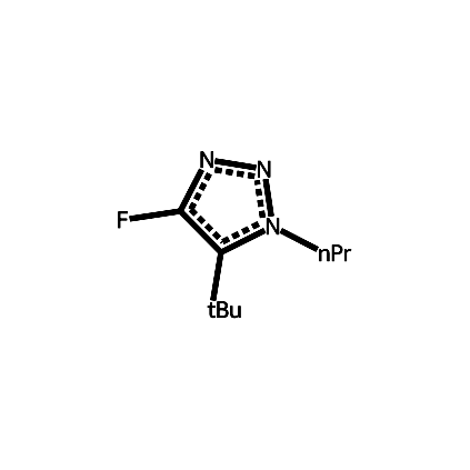 CCCn1nnc(F)c1C(C)(C)C